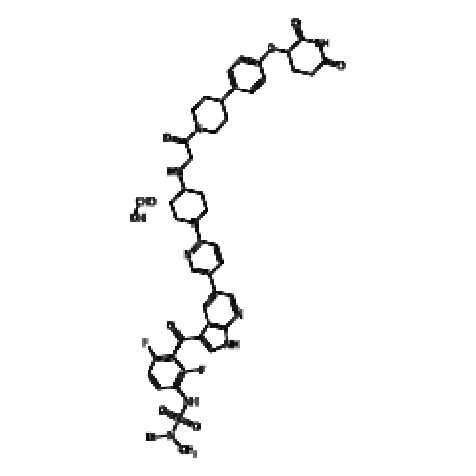 CCN(C)S(=O)(=O)Nc1ccc(F)c(C(=O)c2c[nH]c3ncc(-c4ccc(N5CCC(NCC(=O)N6CCC(c7ccc(OC8CCC(=O)NC8=O)cc7)CC6)CC5)nc4)cc23)c1F.O=CO